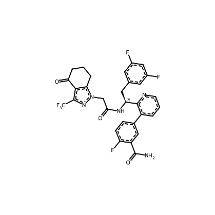 NC(=O)c1cc(-c2cccnc2[C@H](Cc2cc(F)cc(F)c2)NC(=O)Cn2nc(C(F)(F)F)c3c2CCCC3=O)ccc1F